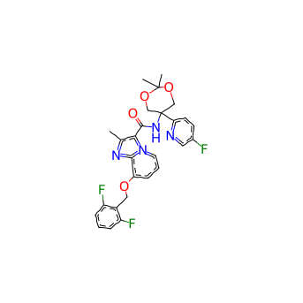 Cc1nc2c(OCc3c(F)cccc3F)cccn2c1C(=O)NC1(c2ccc(F)cn2)COC(C)(C)OC1